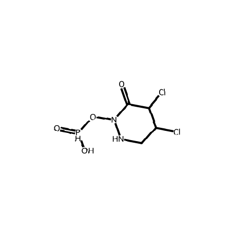 O=C1C(Cl)C(Cl)CNN1O[PH](=O)O